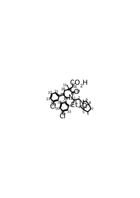 CC[C@@H](CN1CC2CCC(C1)O2)N1C(=O)[C@@](C)(CC(=O)O)C[C@H](c2cccc(Cl)c2)[C@H]1c1ccc(Cl)cc1